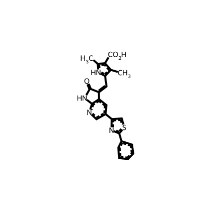 Cc1[nH]c(/C=C2\C(=O)Nc3ncc(-c4csc(-c5ccccc5)n4)cc32)c(C)c1C(=O)O